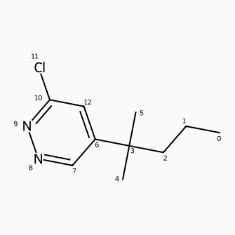 CCCC(C)(C)c1cnnc(Cl)c1